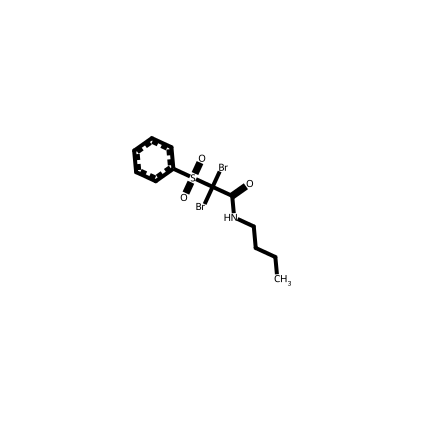 CCCCNC(=O)C(Br)(Br)S(=O)(=O)c1ccccc1